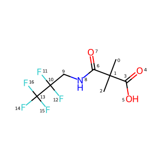 CC(C)(C(=O)O)C(=O)NCC(F)(F)C(F)(F)F